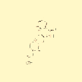 Cc1[nH]c(=O)c2ccccc2c1CN1CCN(CCO)CC1